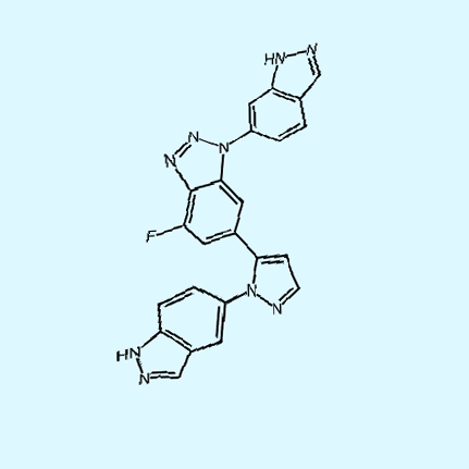 Fc1cc(-c2ccnn2-c2ccc3[nH]ncc3c2)cc2c1nnn2-c1ccc2cn[nH]c2c1